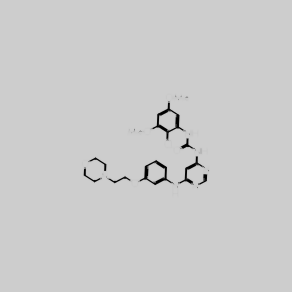 COc1cc(NC(=O)Nc2cc(Nc3cccc(OCCN4CCOCC4)c3)ncn2)c(Cl)c(OC)c1